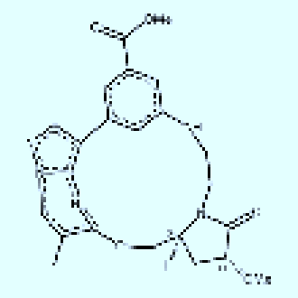 COC(=O)c1cc2cc(c1)-c1cnn3cc(C)c(nc13)OC[C@@H]1C[C@@H](OC)C(=O)N1CCN2